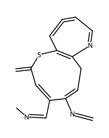 C=N/C1=C/CC2=C(C=C=CC=N2)SC(=C)/C=C1/C=N\C